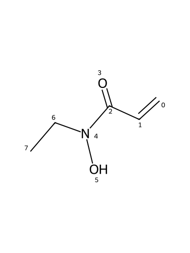 C=CC(=O)N(O)CC